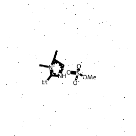 CCc1[nH]cc(C)[n+]1C.COS(=O)(=O)[O-]